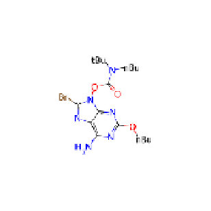 CCCCOc1nc(N)c2nc(Br)n(OC(=O)N(CCCC)C(C)(C)C)c2n1